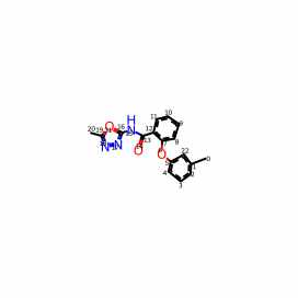 Cc1cccc(Oc2ccccc2C(=O)Nc2nnc(C)o2)c1